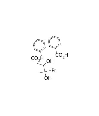 CC(C)C(C)(O)C(C)O.O=C(O)c1ccccc1.O=C(O)c1ccccc1